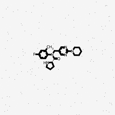 Cc1cc(F)ccc1N(Cc1cnc(N2CCCCC2)nc1)C(=O)[C@@H]1CCCN1